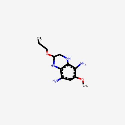 CCCOC1CNc2c(N)c(OC)cc(N)c2N1